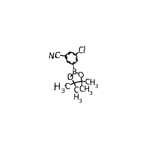 CC1(C)OB(c2cc(Cl)cc(C#N)c2)OC1(C)C